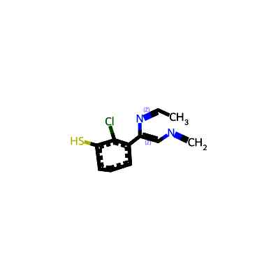 C=N/C=C(\N=C/C)c1cccc(S)c1Cl